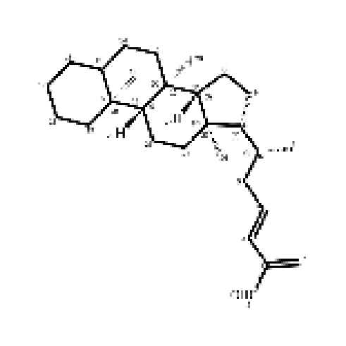 C=C(C=O)C=CC[C@@H](C)[C@H]1CC[C@H]2[C@@H]3CCC4CCCC[C@]4(C)[C@H]3CC[C@]12C